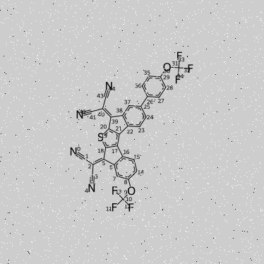 N#CC(C#N)=C1c2cc(OC(F)(F)F)ccc2-c2c1sc1c2-c2ccc(-c3ccc(OC(F)(F)F)cc3)cc2C1=C(C#N)C#N